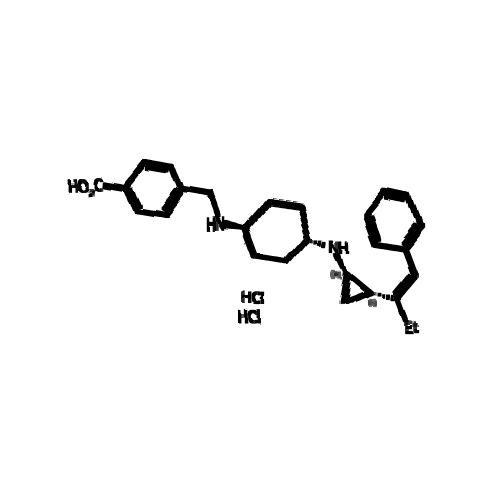 CCC(=Cc1ccccc1)[C@@H]1C[C@H]1N[C@H]1CC[C@H](NCc2ccc(C(=O)O)cc2)CC1.Cl.Cl